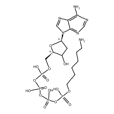 NCCCCCCOP(=O)(O)OP(=O)(O)OP(=O)(O)OP(=O)(O)OC[C@H]1O[C@@H](n2cnc3c(N)ncnc32)CC1O